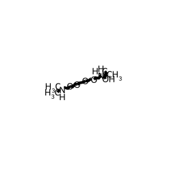 CC(C)=C(O)NCCOCCOCCOCCOCCNC(C)C